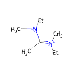 CCN(C)C(C)=[N+](C)CC